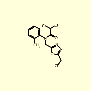 CCC(Cl)C(=O)N(Cc1nnc(CCl)o1)c1ccccc1C